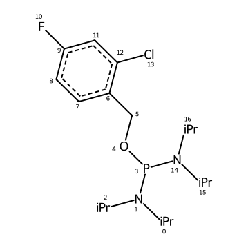 CC(C)N(C(C)C)P(OCc1ccc(F)cc1Cl)N(C(C)C)C(C)C